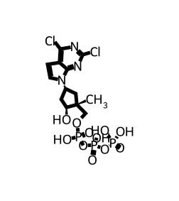 C[C@]1(COP(=O)(O)OP(=O)(O)OP(=O)(O)O)C[C@@H](n2ccc3c(Cl)nc(Cl)nc32)C[C@@H]1O